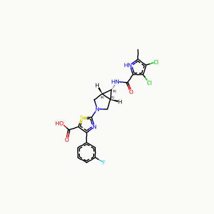 Cc1[nH]c(C(=O)N[C@@H]2[C@@H]3CN(c4nc(-c5cccc(F)c5)c(C(=O)O)s4)C[C@@H]32)c(Cl)c1Cl